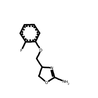 NC1=NC(COc2ccccc2F)CO1